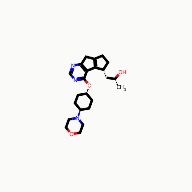 C[C@@H](O)C[C@H]1CCC2=C1c1c(ncnc1O[C@H]1CC[C@H](N3CCOCC3)CC1)C2